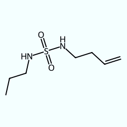 C=CCCNS(=O)(=O)NCCC